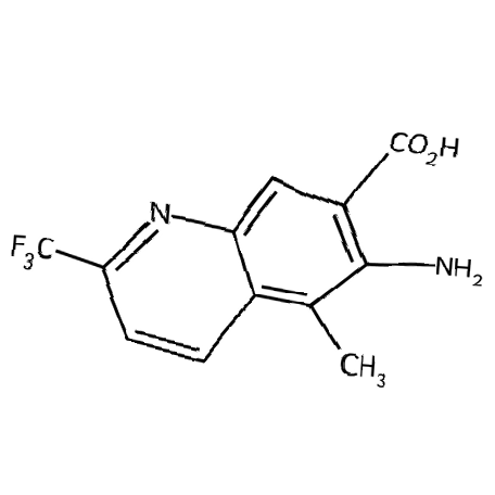 Cc1c(N)c(C(=O)O)cc2nc(C(F)(F)F)ccc12